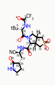 CC(C)(C)[C@H](NC(=O)C(F)(F)F)C(=O)N1C[C@@H]2CS(=O)(=O)C[C@@H]2[C@H]1C(=O)N[C@H](C#N)C[C@@H]1CCNC1=O